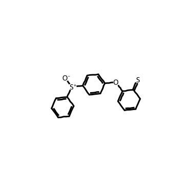 [O-][S+](c1ccccc1)c1ccc(OC2=CC=CCC2=S)cc1